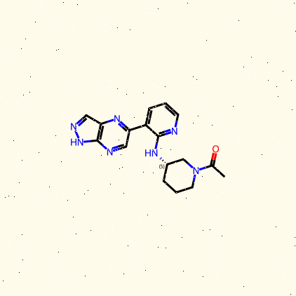 CC(=O)N1CCC[C@H](Nc2ncccc2-c2cnc3[nH]ncc3n2)C1